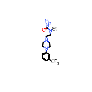 CCN(CCN1CCN(c2cccc(C(F)(F)F)c2)CC1)C(N)=O